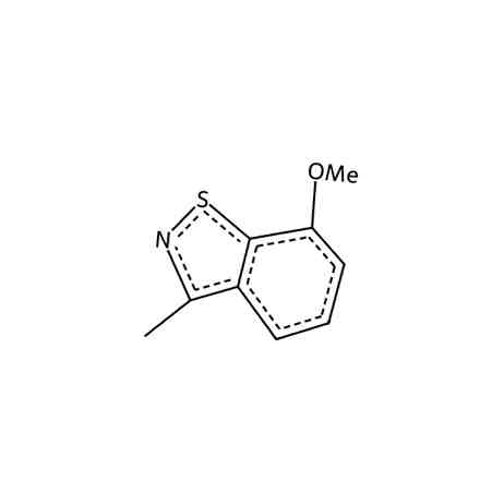 COc1cccc2c(C)nsc12